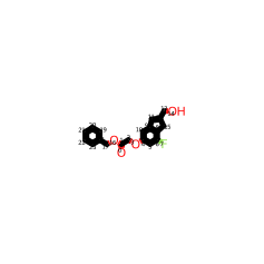 O=C(COc1cc(F)c2c(c1)C=C(CO)C2)OCc1ccccc1